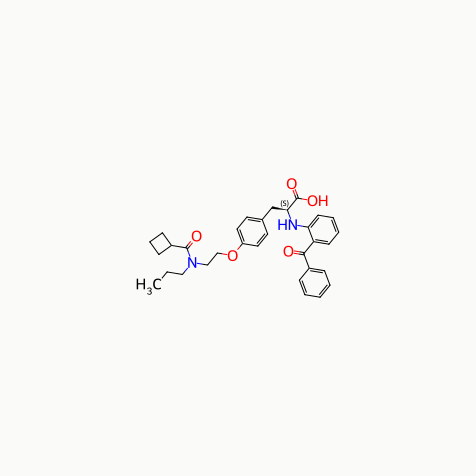 CCCN(CCOc1ccc(C[C@H](Nc2ccccc2C(=O)c2ccccc2)C(=O)O)cc1)C(=O)C1CCC1